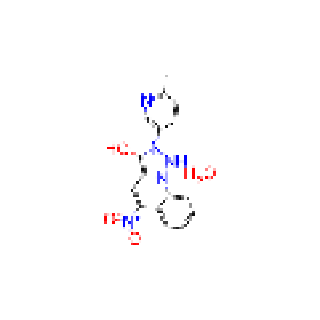 Cc1ccc(N2NN3C(=C2O)C=C([N+](=O)[O-])c2ccccc23)cn1.O